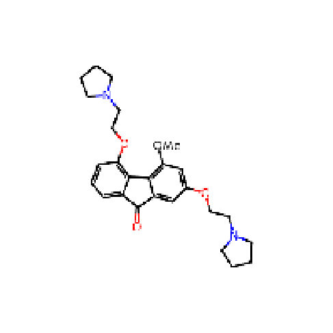 COc1cc(OCCN2CCCC2)cc2c1-c1c(OCCN3CCCC3)cccc1C2=O